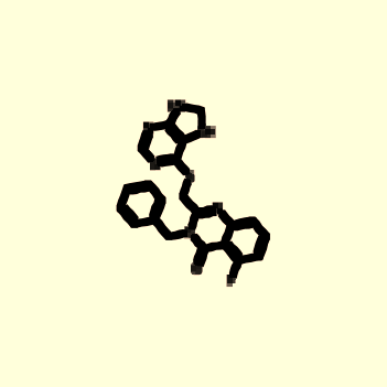 O=c1c2c(F)cccc2nc(CSc2ncnc3c2NCN3)n1Cc1ccccc1